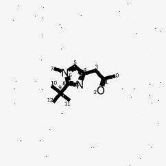 CC(=O)Cc1cn(C)c(C(C)(C)C)n1